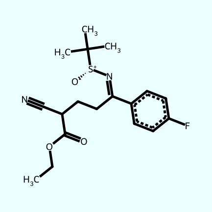 CCOC(=O)C(C#N)CC/C(=N\[S@+]([O-])C(C)(C)C)c1ccc(F)cc1